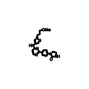 COCCCn1cc(Nc2ccnc(-c3ccc(N4CCNC4=O)cc3)n2)cn1